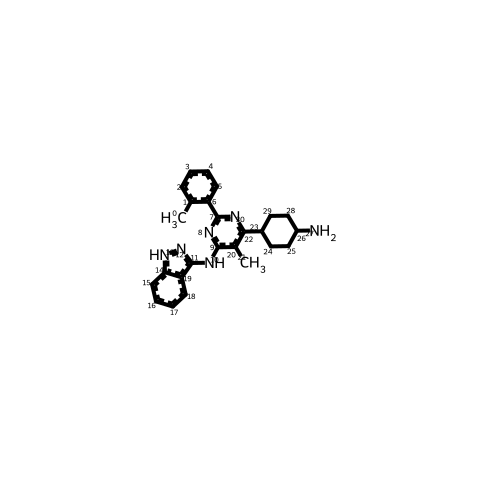 Cc1ccccc1-c1nc(Nc2n[nH]c3ccccc23)c(C)c(C2CCC(N)CC2)n1